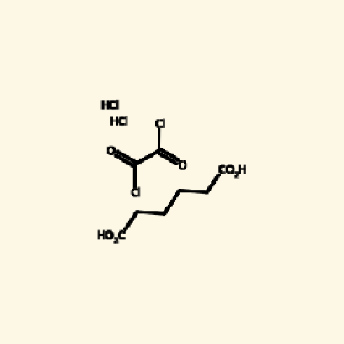 Cl.Cl.O=C(Cl)C(=O)Cl.O=C(O)CCCCC(=O)O